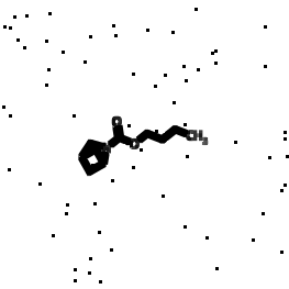 CCCCOC(=O)N1CC2CC1C2